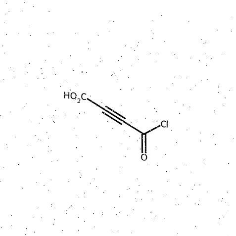 O=C(O)C#CC(=O)Cl